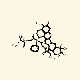 CC[C@@]1(O)C(=O)OCc2c1cc1n(c2=O)Cc2c-1nc1cc(F)c(C)c3c1c2[C@@H]([N+](C(=O)CNC(=O)CN)(C(=O)CNC(=O)[C@H](C)N)c1ccccc1)CC3